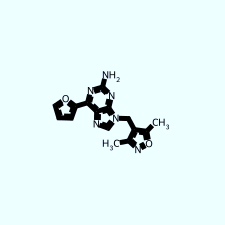 Cc1noc(C)c1Cn1cnc2c(-c3ccco3)nc(N)nc21